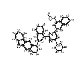 COCc1cc(-c2nc(-c3cc(-c4cccc5cc6oc7ccccc7c6cc45)cc4ccccc34)nc(C3CCCCC3)n2)cc2ccccc12